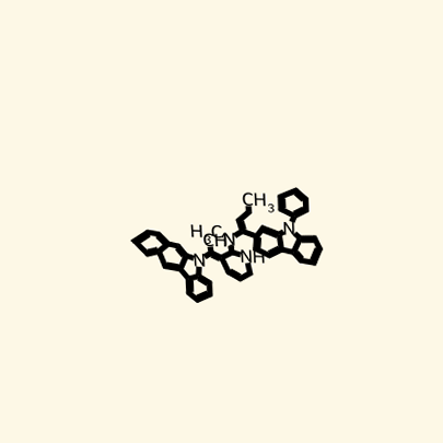 CC/C=C(\c1ccc2c3ccccc3n(-c3ccccc3)c2c1)N(C)C1NCC=C/C1=C(/C)n1c2ccccc2c2cc3ccccc3cc21